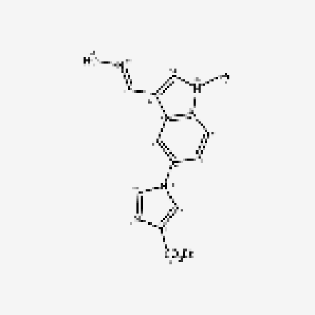 CCOC(=O)c1cn(-c2ccc3c(c2)c(C=NO)cn3C(C)C)cn1